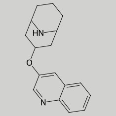 c1ccc2ncc(OC3CC4CCCC(C3)N4)cc2c1